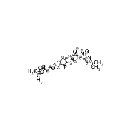 CC(C)C1=NC(C(=O)N2CCOC3(CCN(Cc4cccc(CCOCCC(=O)OC(C)(C)C)c4F)CC3)C2)CS1